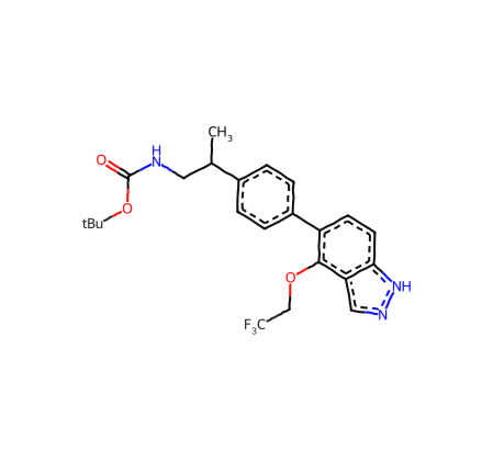 CC(CNC(=O)OC(C)(C)C)c1ccc(-c2ccc3[nH]ncc3c2OCC(F)(F)F)cc1